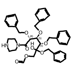 O=COCC(O)(OCc1ccccc1)[C@@H](OCc1ccccc1)[C@H](OCc1ccccc1)[C@@H](OCc1ccccc1)C(=O)N1CCNCC1